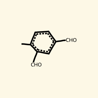 Cc1ccc(C=O)cc1C=O